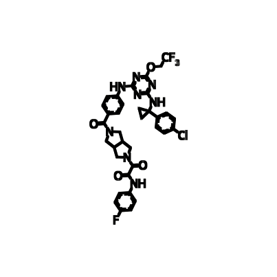 O=C(Nc1ccc(F)cc1)C(=O)N1CC2CN(C(=O)c3ccc(Nc4nc(NC5(c6ccc(Cl)cc6)CC5)nc(OCC(F)(F)F)n4)cc3)CC2C1